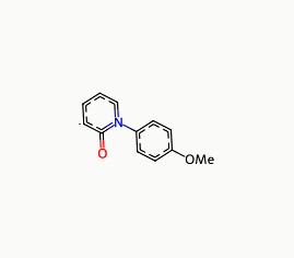 COc1ccc(-n2ccc[c]c2=O)cc1